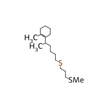 CSCCCSCCCCC(C)C1=C(C)CCCC1